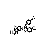 COc1ccc2nc(N3CCC(F)(F)[C@H](N)C3)n(Cc3ccc(C#N)cc3)c2c1